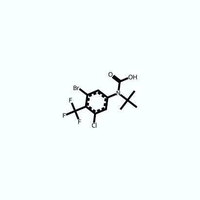 CC(C)(C)N(C(=O)O)c1cc(Cl)c(C(F)(F)F)c(Br)c1